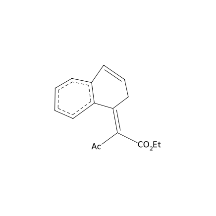 CCOC(=O)/C(C(C)=O)=C1\CC=Cc2ccccc21